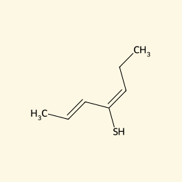 CC=C/C(S)=C\CC